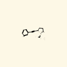 O=C(O)N1CCCC1C#Cc1cccc(F)c1